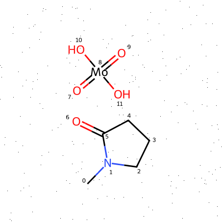 CN1CCCC1=O.[O]=[Mo](=[O])([OH])[OH]